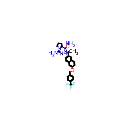 C=C(/N=C(\ON)[C@@H]1CCCN1C(=N)N)c1ccc2cc(OCc3ccc(C(F)(F)F)cc3)ccc2c1